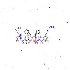 CC(C)[C@H](NC(=O)CCCCCN)C(=O)N[C@H](C(=O)NC(Cc1ccccc1)C(O)C(Cc1ccccc1)NC(=O)[C@@H](NC(=O)[C@@H](NC(=O)CCCCC(=O)O)C(C)C)C(C)C)C(C)C